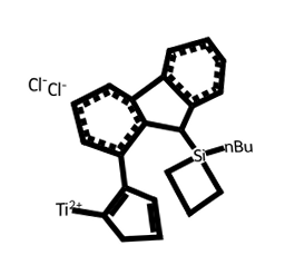 CCCC[Si]1(C2c3ccccc3-c3cccc(C4=[C]([Ti+2])CC=C4)c32)CCC1.[Cl-].[Cl-]